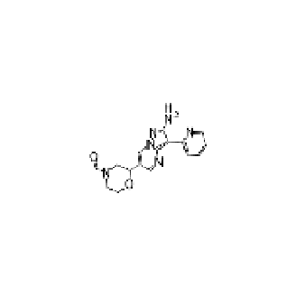 Nc1nn2cc(C3CN(C=O)CCO3)cnc2c1-c1ccccn1